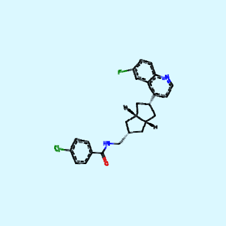 O=C(NC[C@@H]1C[C@@H]2C[C@H](c3ccnc4ccc(F)cc34)C[C@@H]2C1)c1ccc(Cl)cc1